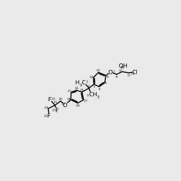 CC(C)(c1ccc(OC[C@H](O)CCl)cc1)c1ccc(OCC(F)(F)CF)cc1